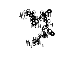 CC[C@@]1(O)C(=O)OCc2c1cc1n(c2=O)Cc2c-1nc1cc(F)c(C)c3c1c2[C@@H](NC(=O)CNC(=O)C(Cc1ccccc1)NC(=O)CNC(=O)CNC(=O)CNC(=O)[C@H](Cc1ccccc1)NC(=O)CNC(=O)CNC(=O)OC(C)(C)C)CC3